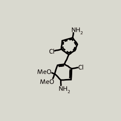 COC1(OC)C=C(c2ccc(N)cc2Cl)C(Cl)=CC1N